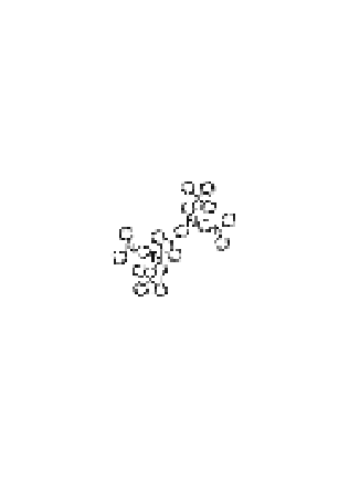 c1ccc(N(c2ccccc2)c2ccc(N(c3ccc(-c4c5ccccc5c(N(c5ccc(N(c6ccccc6)c6ccccc6)cc5)c5ccc6c(c5)C(c5ccccc5)(c5ccccc5)c5ccccc5-6)c5ccccc45)cc3)c3ccc4c(c3)C(c3ccccc3)(c3ccccc3)c3ccccc3-4)cc2)cc1